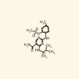 Cc1ccc(Nc2ncc(C(N)=O)c(N[C@H](C)C(C)C)n2)c(OS(C)(=O)=O)c1